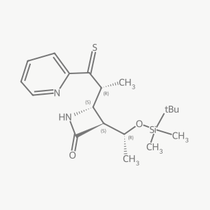 C[C@@H](O[Si](C)(C)C(C)(C)C)[C@H]1C(=O)N[C@@H]1[C@@H](C)C(=S)c1ccccn1